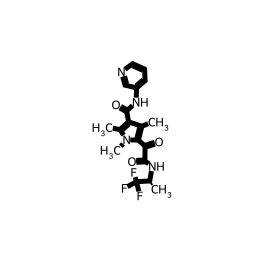 Cc1c(C(=O)Nc2cccnc2)c(C)n(C)c1C(=O)C(=O)N[C@H](C)C(F)(F)F